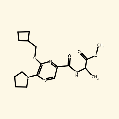 COC(=O)C(C)NC(=O)c1cnc(N2CCCC2)c(OCC2CCC2)n1